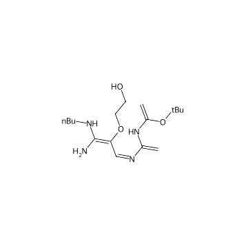 C=C(/N=C\C(OCCO)=C(/N)NCCCC)NC(=C)OC(C)(C)C